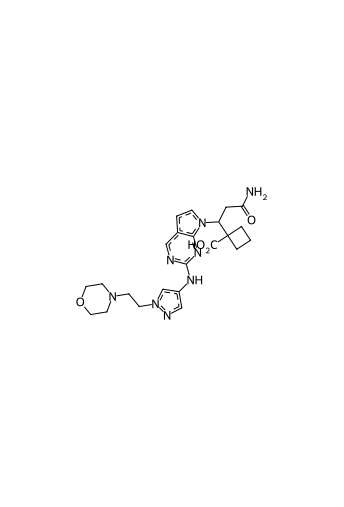 NC(=O)CC(n1ccc2cnc(Nc3cnn(CCN4CCOCC4)c3)nc21)C1(C(=O)O)CCC1